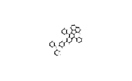 c1ccc(-c2c3c(c(-c4ccccc4)c4cc(-c5ccc(N(c6ccccc6)c6cccnc6)cc5)ccc24)-c2cccc4cccc-3c24)cc1